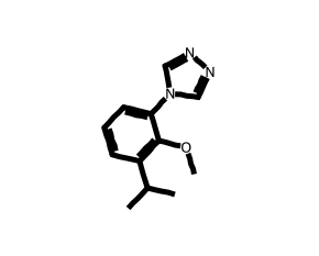 COc1c(C(C)C)cccc1-n1cnnc1